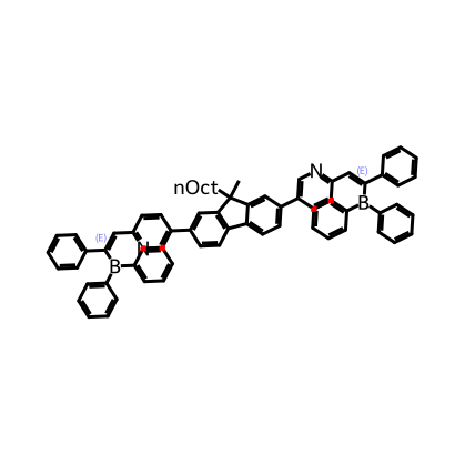 CCCCCCCCC1(C)c2cc(-c3ccc(/C=C(\B(c4ccccc4)c4ccccc4)c4ccccc4)nc3)ccc2-c2ccc(-c3ccc(/C=C(\B(c4ccccc4)c4ccccc4)c4ccccc4)nc3)cc21